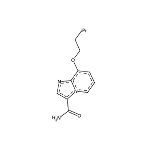 CC(C)CCOc1cccn2c(C(N)=O)cnc12